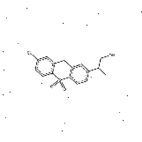 CC(CO)c1ccc2c(c1)Cc1cc(Cl)ccc1S2(=O)=O